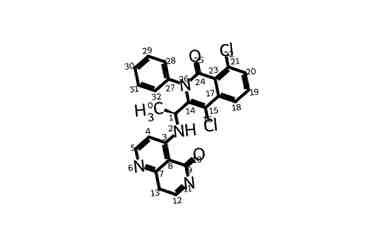 C[C@H](Nc1ccnc2c1C(=O)N=CC2)c1c(Cl)c2cccc(Cl)c2c(=O)n1-c1ccccc1